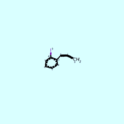 C=C=Cc1ccccc1I